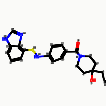 CC(C)CC1(O)CCN(C(=O)c2ccc(NSc3cccc4[nH]cnc34)cc2)CC1